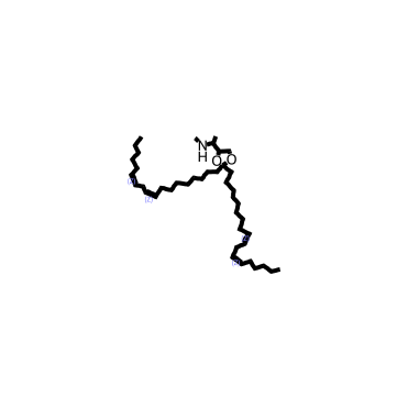 CCCCC/C=C\C/C=C\CCCCCCCCC1(CCCCCCCC/C=C\C/C=C\CCCCC)OCC(C(C)NC)O1